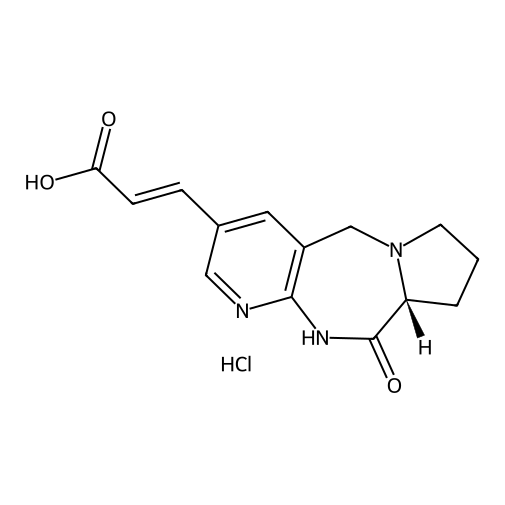 Cl.O=C(O)/C=C/c1cnc2c(c1)CN1CCC[C@@H]1C(=O)N2